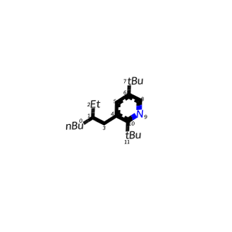 CCCCC(CC)Cc1cc(C(C)(C)C)cnc1C(C)(C)C